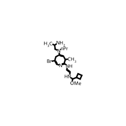 CCCN(CC(C)N)C1=CC(C)/C(N/C=C/NC(OC)C2CCC2)=N\C=C(\Br)C1